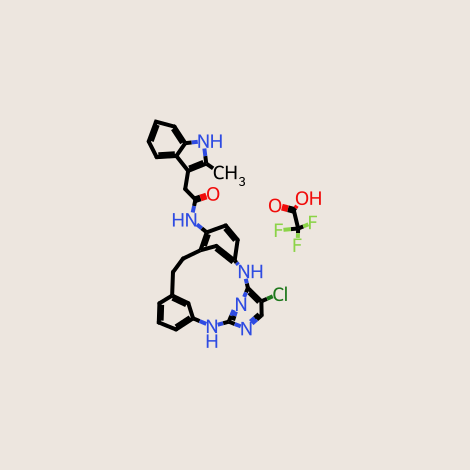 Cc1[nH]c2ccccc2c1CC(=O)Nc1ccc2cc1CCc1cccc(c1)Nc1ncc(Cl)c(n1)N2.O=C(O)C(F)(F)F